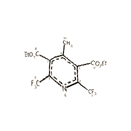 CCOC(=O)c1c(C(F)(F)F)nc(C(F)(F)F)c(C(=O)OCC)c1C